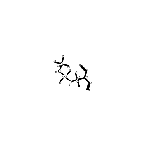 C=CC(C=C)[Si](C)(C)O[Si](C)(C)O[Si](C)(C)C